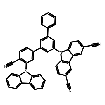 N#Cc1ccc2c(c1)c1cc(C#N)ccc1n2-c1cc(-c2ccccc2)cc(-c2ccc(C#N)c(-n3c4ccccc4c4ccccc43)c2)c1